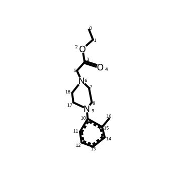 CCOC(=O)CN1CCN(c2ccccc2C)CC1